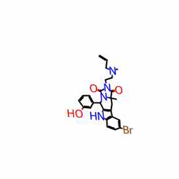 C=CCN(C)CCN1C(=O)N2C(c3cccc(O)c3)c3[nH]c4ccc(Br)cc4c3CC2(C)C1=O